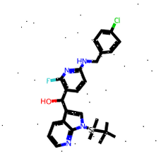 CC(C)(C)[Si](C)(C)n1cc(C(O)c2ccc(NCc3ccc(Cl)cc3)nc2F)c2cccnc21